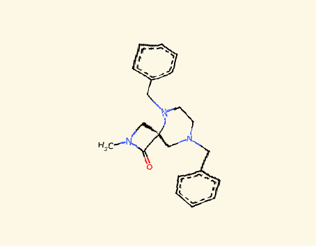 CN1C[C@@]2(CN(Cc3ccccc3)CCN2Cc2ccccc2)C1=O